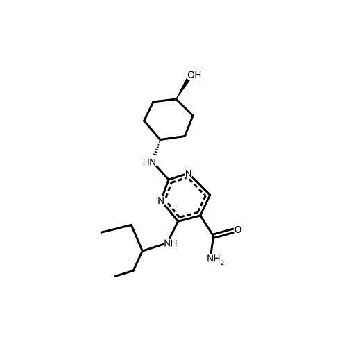 CCC(CC)Nc1nc(N[C@H]2CC[C@H](O)CC2)ncc1C(N)=O